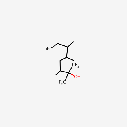 CC(C)CC(C)C(C)CC(C)C(O)(C(F)(F)F)C(F)(F)F